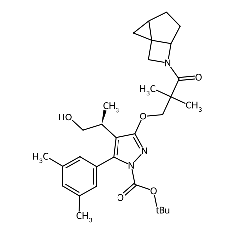 Cc1cc(C)cc(-c2c([C@H](C)CO)c(OCC(C)(C)C(=O)N3CC45CC4CCC35)nn2C(=O)OC(C)(C)C)c1